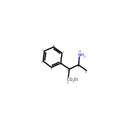 CCOC(=O)C(c1ccccc1)C(C)N